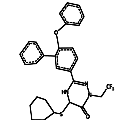 O=C1C(SC2CCCCC2)NC(c2ccc(Oc3ccccc3)c(-c3ccccc3)c2)=NN1CC(F)(F)F